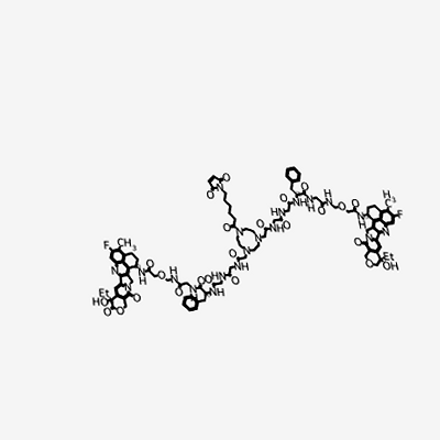 CC[C@@]1(O)COCc2c1cc1n(c2=O)Cc2c-1nc1cc(F)c(C)c3c1c2[C@@H](NC(=O)COCNC(=O)CNC(=O)[C@H](Cc1ccccc1)NC(=O)CNC(=O)CNC(=O)CN1CCN(CC(=O)NCC(=O)NCC(=O)N[C@@H](Cc2ccccc2)C(=O)NCC(=O)NCOCC(=O)N[C@H]2CCc4c(C)c(F)cc5nc6c(c2c45)Cn2c-6cc4c(c2=O)COC(=O)[C@]4(O)CC)CCN(C(=O)CCCCCN2C(=O)C=CC2=O)CC1)CC3